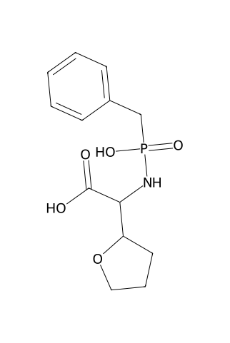 O=C(O)C(NP(=O)(O)Cc1ccccc1)C1CCCO1